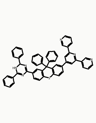 c1ccc(C2=NC(c3ccc4c(c3)C(c3ccccc3)(c3ccccc3)c3cc(-c5cc(-c6cccnc6)nc(-c6cccnc6)c5)ccc3S4)=NC(c3ccccc3)N2)cc1